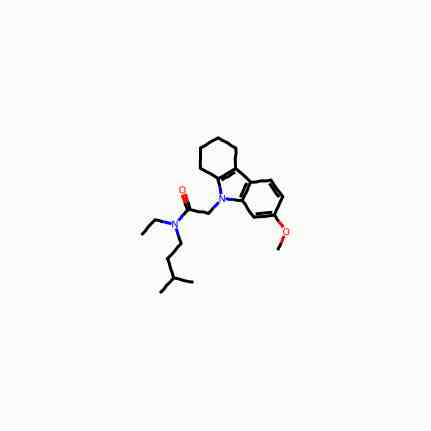 CCN(CCC(C)C)C(=O)Cn1c2c(c3ccc(OC)cc31)CCCC2